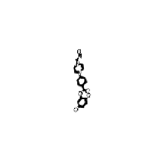 O=NCN1CCN(c2ccc(C(=O)OC3=CC(=O)C=CC3=O)cc2)CC1